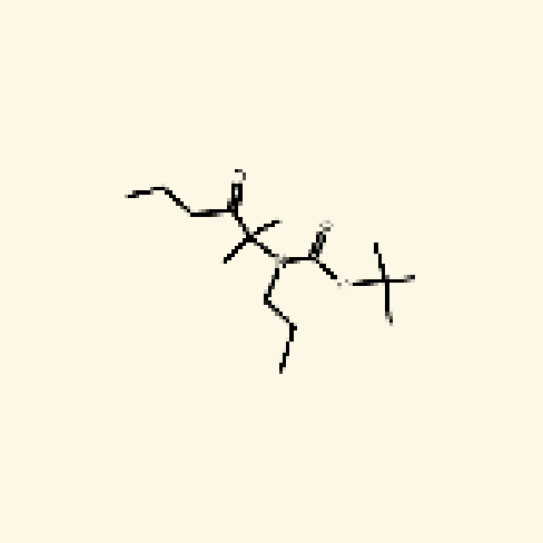 CCCC(=O)C(C)(C)N(CCC)C(=O)OC(C)(C)C